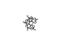 CC(=O)OC[C@@H](OC(C)=O)[C@@H](OC(C)=O)[C@H](OC(C)=O)[C@H]([C]=O)OC(C)=O